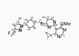 COc1ncnc(C2CC2)c1-c1ncc(C)c(OCc2ccc(-n3nc(C(F)(F)F)cc3C)cc2)n1